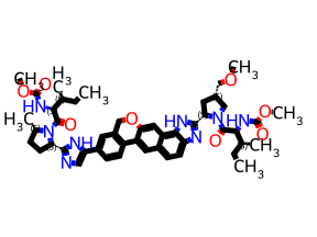 CC[C@H](C)C(NC(=O)OC)C(=O)N1C[C@@H](COC)C[C@H]1c1nc2ccc3cc4c(cc3c2[nH]1)OCc1cc(-c2cnc([C@@H]3CC[C@H](C)N3C(=O)[C@@H](NC(=O)OC)[C@@H](C)CC)[nH]2)ccc1-4